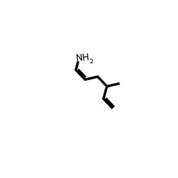 C=CC(C)C/C=C\N